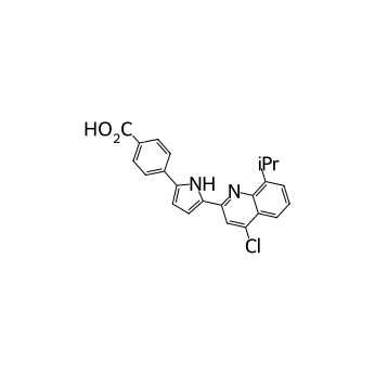 CC(C)c1cccc2c(Cl)cc(-c3ccc(-c4ccc(C(=O)O)cc4)[nH]3)nc12